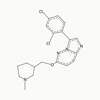 CN1CCCC(COc2ccc3ncc(-c4ccc(Cl)cc4Cl)n3n2)C1